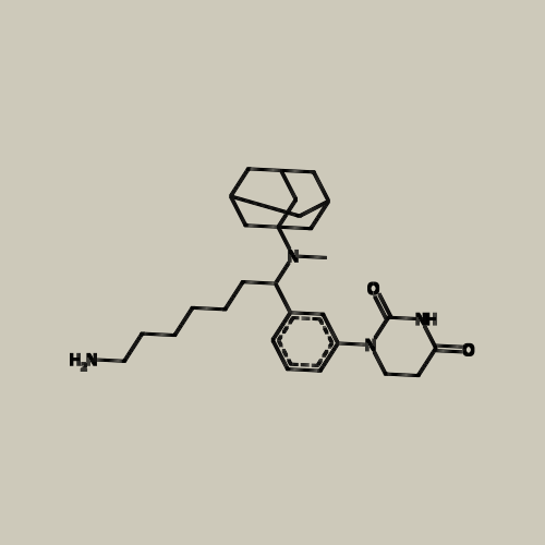 CN(C(CCCCCCN)c1cccc(N2CCC(=O)NC2=O)c1)C12CC3CC(CC(C3)C1)C2